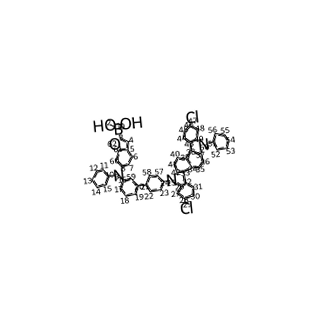 OB(O)c1cc2ccc(N(c3ccccc3)c3cccc(-c4ccc(-n5c6cc(Cl)ccc6c6c7ccc8c(c7ccc65)c5ccc(Cl)cc5n8-c5ccccc5)cc4)c3)cc2o1